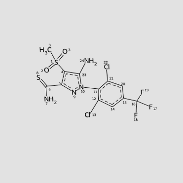 CS(=O)(=O)c1c(C(N)=S)nn(-c2c(Cl)cc(C(F)(F)F)cc2Cl)c1N